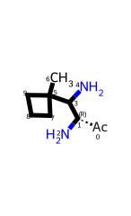 CC(=O)[C@H](N)C(N)C1(C)CCC1